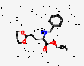 CCOC(=O)C(CCC1OCCCO1)NCc1ccccc1